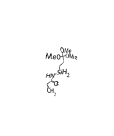 C=CC(=O)N[SiH2]CCC(OC)(OC)OC